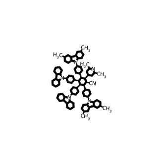 Cc1ccc2c(c1)c1cc(C)ccc1n2-c1ccc(-c2c(C#N)c(-c3cc(C)nc(C)c3)c(-c3ccc(-n4c5ccc(C)cc5c5cc(C)ccc54)cc3)c(-c3ccc(-n4c5ccccc5c5ccccc54)cc3)c2-c2ccc(-n3c4ccccc4c4ccccc43)cc2)cc1